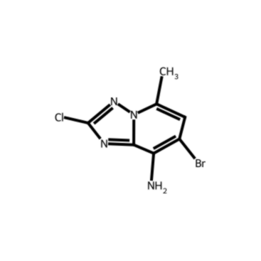 Cc1cc(Br)c(N)c2nc(Cl)nn12